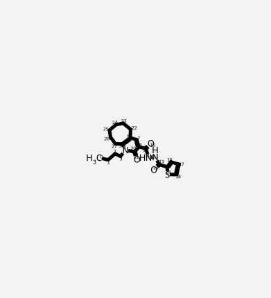 CCCCn1c2c(cc(C(=O)NNC(=O)c3cccs3)c1=O)CCCCCC2